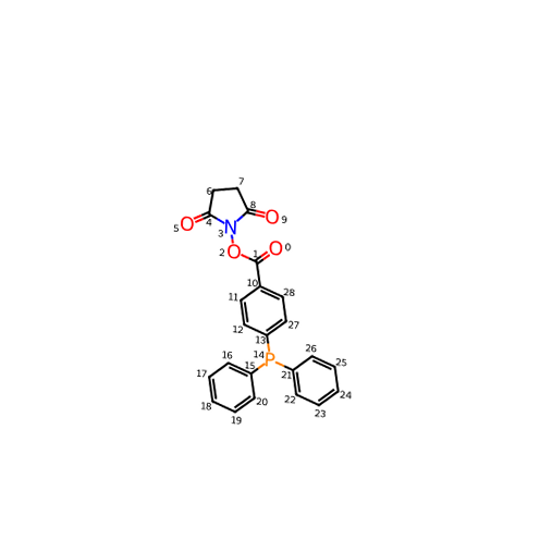 O=C(ON1C(=O)CCC1=O)c1ccc(P(c2ccccc2)c2ccccc2)cc1